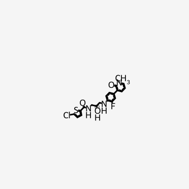 Cn1cccc(-c2ccc(NC[C@@H](O)CNC(=O)c3ccc(Cl)s3)c(F)c2)c1=O